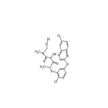 CCOCN(C)C(=O)C(C#N)C(=O)C(C)Oc1cc(Oc2cnc3cc(Cl)ccc3n2)ccc1Cl